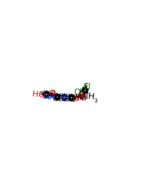 C[C@]1(c2ccc(Cl)cc2Cl)OC[C@@H](COc2ccc(N3CCN(c4ccc(NC(=O)c5ccc(O)cc5)cc4)CC3)cc2)O1